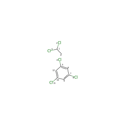 CC(Cl)Cl.Clc1cc(Cl)cc(Cl)c1